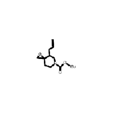 C=CCC1CN(C(=O)OC(C)(C)C)CCC12CO2